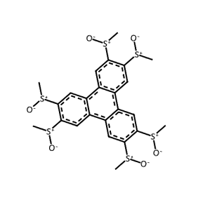 C[S+]([O-])c1cc2c3cc([S+](C)[O-])c([S+](C)[O-])cc3c3cc([S+](C)[O-])c([S+](C)[O-])cc3c2cc1[S+](C)[O-]